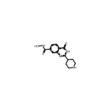 O=C(NO)c1ccc2c(=O)[nH]c(C3CCNCC3)nc2c1